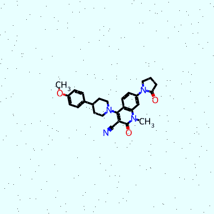 COc1ccc(C2CCN(c3c(C#N)c(=O)n(C)c4cc(N5CCCC5=O)ccc34)CC2)cc1